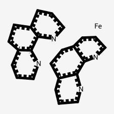 [Fe].c1cnc2c(c1)ccc1cccnc12.c1cnc2c(c1)ccc1cccnc12